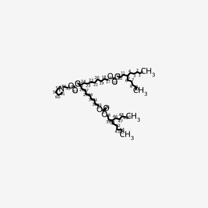 CCCCCC(CCCCC)CCOC(=O)OCCCCCCCCC(CCCCCCCCOC(=O)OCCC(CCCCC)CCCCC)OC(=O)OCCN1CCCC1